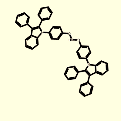 B(Oc1ccc(-n2c(-c3ccccc3)c(-c3ccccc3)c3ccccc32)cc1)Oc1ccc(-n2c(-c3ccccc3)c(-c3ccccc3)c3ccccc32)cc1